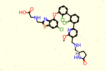 COc1nc(-c2cccc(-c3cccc(Oc4cc(Cl)cc5sc(CNCC(=O)O)nc45)c3Cl)c2Cl)ccc1CNC[C@H]1CCC(=O)N1